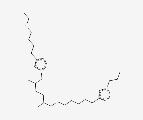 CCCn1cc(CCCCCNCC(C)CCC(C)Cn2cc(CCCCNCC)nn2)nn1